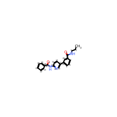 CCCNC(=O)c1cccc(-c2ccc(NC(=O)c3ccccc3)nc2)c1